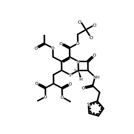 COC(=O)C(CC1S[C@H]2C(NC(=O)Cc3cccs3)C(=O)N2C(C(=O)OCC(Cl)(Cl)Cl)=C1COC(C)=O)C(=O)OC